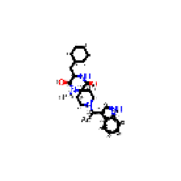 CCCN1C(=O)C(CC2CCCCC2)NC(=O)C12CCN(C(C(C)=O)c1c[nH]c3ccccc13)CC2